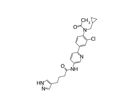 CC(=O)N(CC1CC1)c1ccc(-c2ccc(NC(=O)CCCc3cn[nH]c3)cn2)cc1Cl